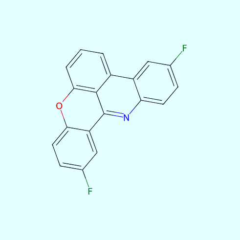 Fc1ccc2c(c1)-c1nc3ccc(F)cc3c3cccc(c13)O2